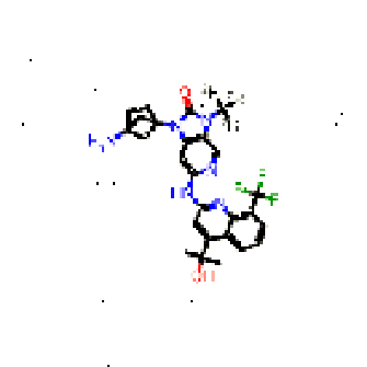 [2H]C([2H])([2H])n1c(=O)n(C23CCC(N)(C2)C3)c2cc(Nc3cc(C(C)(C)O)c4cccc(C(F)(F)F)c4n3)ncc21